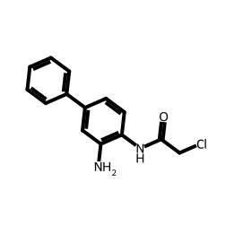 Nc1cc(-c2ccccc2)ccc1NC(=O)CCl